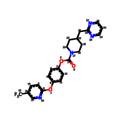 O=C(Oc1ccc(Oc2ccc(C(F)(F)F)cn2)cc1)N1CCC(Cc2ncccn2)CC1